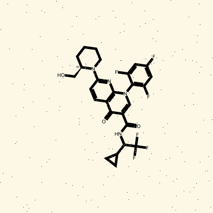 O=C(NC(C1CC1)C(F)(F)F)c1cn(-c2c(F)cc(F)cc2F)c2nc(N3CCCC[C@@H]3CO)ccc2c1=O